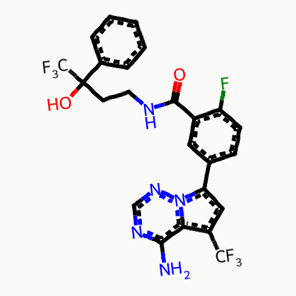 Nc1ncnn2c(-c3ccc(F)c(C(=O)NCCC(O)(c4ccccc4)C(F)(F)F)c3)cc(C(F)(F)F)c12